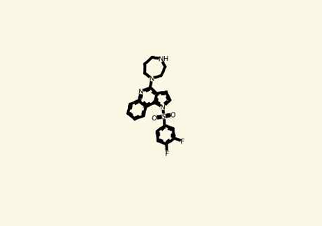 O=S(=O)(c1ccc(F)c(F)c1)n1ccc2c(N3CCCNCC3)nc3ccccc3c21